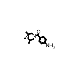 CC1CN(C(=O)c2ccc(N)cc2)CC(C)N1C